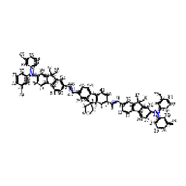 CCC1(CC)c2cc(/C=C/c3ccc4c(c3)C(C)(C)c3cc(N(c5cccc(C)c5)c5cccc(C)c5)ccc3-4)ccc2-c2ccc(/C=C/c3ccc4c(c3)C(C)(C)c3cc(N(c5cccc(C)c5)c5cccc(C)c5)ccc3-4)cc21